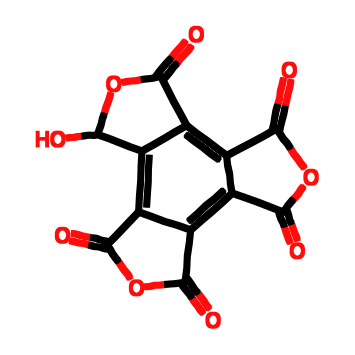 O=C1OC(O)c2c1c1c(=O)oc(=O)c1c1c(=O)oc(=O)c21